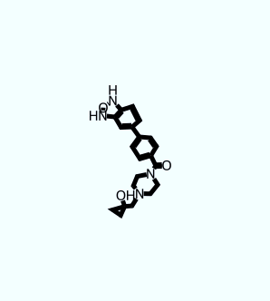 O=C(c1ccc(-c2ccc3c(c2)NON3)cc1)N1CCN(CC2(O)CC2)CC1